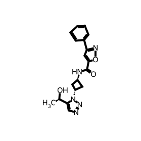 C[C@@H](O)c1cnnn1[C@H]1C[C@H](NC(=O)c2cc(-c3ccccc3)no2)C1